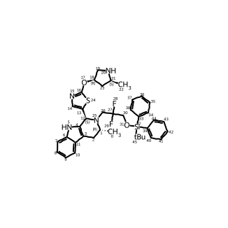 C[C@@H]1Cc2c([nH]c3ccccc23)[C@@H](c2cnc(O[C@H]3CN[C@@H](C)C3)s2)N1CC(F)(F)CO[Si](c1ccccc1)(c1ccccc1)C(C)(C)C